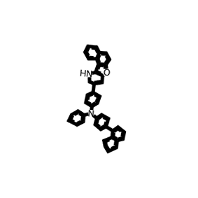 C1=C(c2ccc(N(c3ccccc3)c3ccc(-c4cccc5ccccc45)cc3)cc2)CNc2c1oc1ccc3ccccc3c21